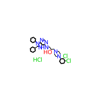 Cl.O[C@H](CNc1ncnc2c1nc(-c1ccccc1)n2-c1ccccc1)CN1CCN(c2cccc(Cl)c2Cl)CC1